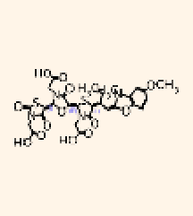 CC/C(C=C1Oc2ccc(OC)cc2N1C)=c1\s/c(=c2/o/c(=C3/SC(=O)N(CC(=O)O)C3=O)n(CC(=O)O)c2=O)n(CC(=O)O)c1=O